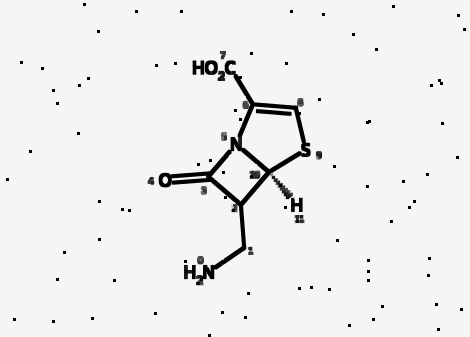 NCC1C(=O)N2C(C(=O)O)=CS[C@@H]12